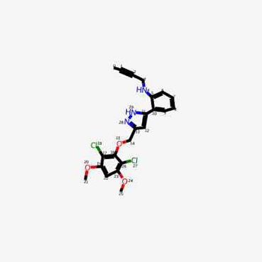 CC#CCNc1ccccc1-c1cc(COc2c(Cl)c(OC)cc(OC)c2Cl)n[nH]1